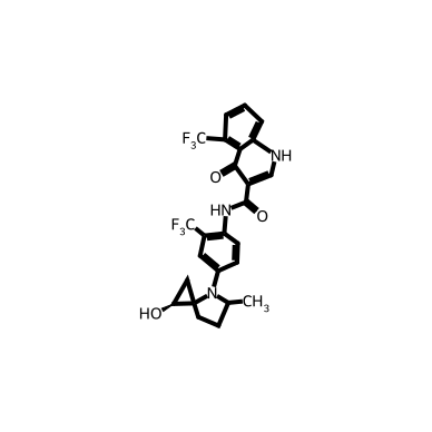 CC1CCC2(C[C@@H]2O)N1c1ccc(NC(=O)c2c[nH]c3cccc(C(F)(F)F)c3c2=O)c(C(F)(F)F)c1